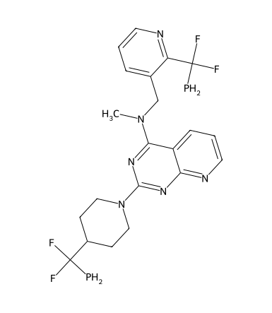 CN(Cc1cccnc1C(F)(F)P)c1nc(N2CCC(C(F)(F)P)CC2)nc2ncccc12